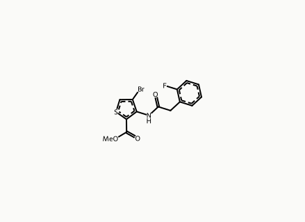 COC(=O)c1scc(Br)c1NC(=O)Cc1ccccc1F